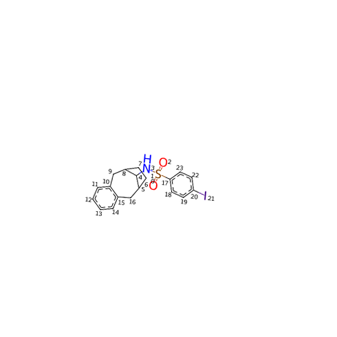 O=S(=O)(NC1C2CCC1Cc1ccccc1C2)c1ccc(I)cc1